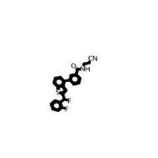 N#CCCNC(=O)c1cccc(-c2cccc3sc(C(F)c4ccccc4F)cc23)c1